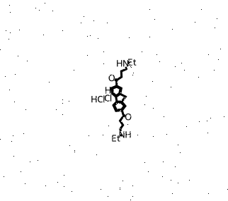 CCNCCCC(=O)c1ccc2c(c1)Cc1cc(C(=O)CCCNCC)ccc1-2.Cl.Cl